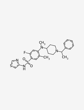 Cc1cc(S(=O)(=O)Nc2cscn2)c(F)cc1N(C)C1CCN(C(C)c2ccccc2)CC1